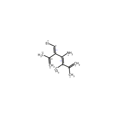 C=C(C)/C(C)=C(N)/C(=C/CC)C(=C)C